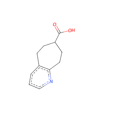 O=C(O)C1CCc2cccnc2CC1